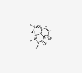 CC(=O)Oc1c(C)c(F)c(F)c2c(F)cccc12